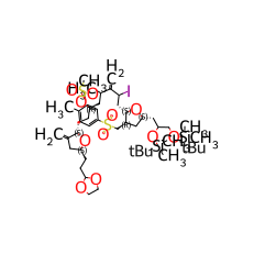 C=C(C(C)C[C@@H](CC[C@@H]1O[C@@H](CCC2OCCO2)CC1=C)OS(C)(=O)=O)C(I)C[C@@H]1O[C@H](CC(CO[Si](C)(C)C(C)(C)C)O[Si](C)(C)C(C)(C)C)C[C@H]1CS(=O)(=O)c1ccc(C)cc1